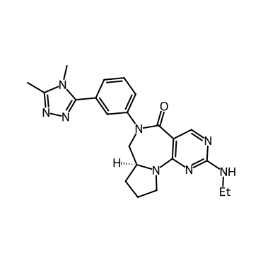 CCNc1ncc2c(n1)N1CCC[C@H]1CN(c1cccc(-c3nnc(C)n3C)c1)C2=O